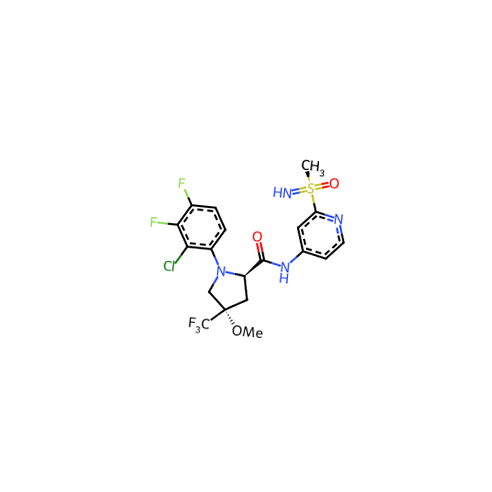 CO[C@@]1(C(F)(F)F)C[C@H](C(=O)Nc2ccnc([S@](C)(=N)=O)c2)N(c2ccc(F)c(F)c2Cl)C1